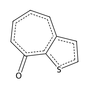 O=c1ccccc2ccsc12